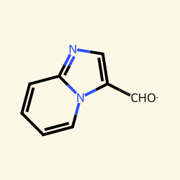 O=[C]c1cnc2ccccn12